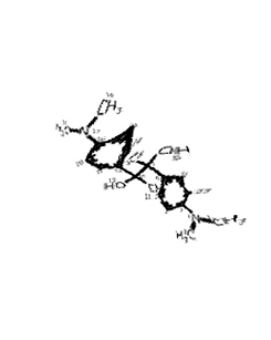 CN(C)c1ccc(C(C)(O)C(C)(O)c2ccc(N(C)C)cc2)cc1